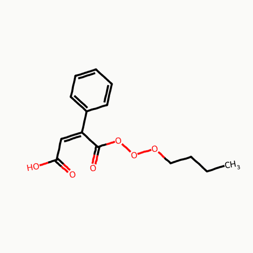 CCCCOOOC(=O)C(=CC(=O)O)c1ccccc1